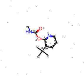 CNC(=O)Oc1ncccc1C(C)(C)C